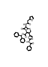 O=C(Cc1cccs1)NC1C(=O)N2C(C(=O)OC(c3ccccc3)c3ccccc3)=C(c3cnc(NC(=O)c4ccccc4)s3)CSC12